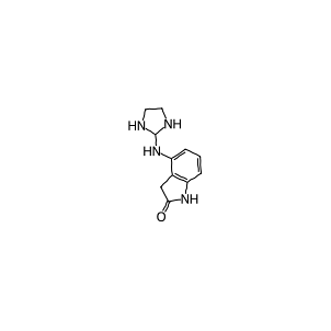 O=C1Cc2c(cccc2NC2NCCN2)N1